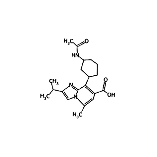 CC(=O)NC1CCCC(c2c(C(=O)O)cc(C)n3cc(C(C)C)nc23)C1